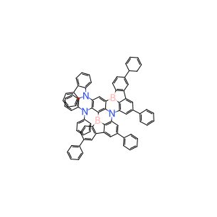 C1=CCC(c2ccc3c(c2)-c2cc(-c4ccccc4)cc4c2B3c2cc(-n3c5ccccc5c5ccccc53)c(N(c3ccccc3)c3ccccc3)c3c2N4c2cc(-c4ccccc4)cc4c2B3c2ccc(-c3ccccc3)cc2-4)C=C1